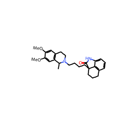 COc1cc2c(cc1OC)C(C)N(CCCCC13CCCc4cccc(c41)NC3=O)CC2